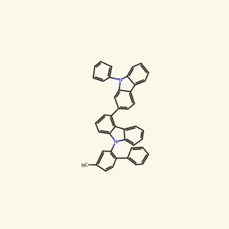 N#Cc1ccc(-c2ccccc2)c(-n2c3ccccc3c3c(-c4ccc5c6ccccc6n(-c6ccccc6)c5c4)cccc32)c1